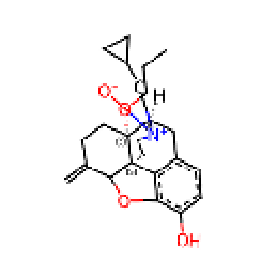 C=C1CC[C@@]2(OCCC)[C@H]3Cc4ccc(O)c5c4[C@@]2(CC[N+]3([O-])CC2CC2)C1O5